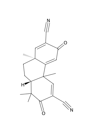 CC1(C)C(=O)C(C#N)=CC2(C)C3=CC(=O)C(C#N)=C[C@]3(C)CC[C@@H]12